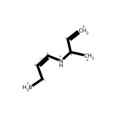 BC/C=C\NC(C)C=C